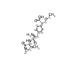 CCOCC(C(=O)O)c1ccc(C[C@H](N)C(=O)NC2=C(C)C3CN3C2=O)cc1